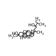 CC[C@]1(O)CC[C@@]2(C)[C@@H](CC[C@H]3[C@@H]4CC[C@H]([C@H](C)CC[C@@H](O)C(C)C)[C@H]4CC[C@@H]32)C1